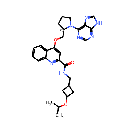 CC(C)OC1CC(CNC(=O)c2cc(OC[C@H]3CCCN3c3ncnc4[nH]cnc34)c3ccccc3n2)C1